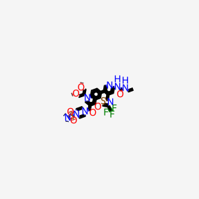 CCNC(=O)Nc1cc(-c2nc(C(F)(F)F)cs2)c(-c2ccc3c(c2)c(=O)c(C(=O)N2CCN(S(=O)(=O)N(C)C)CC2)cn3C(COC)COC)cn1